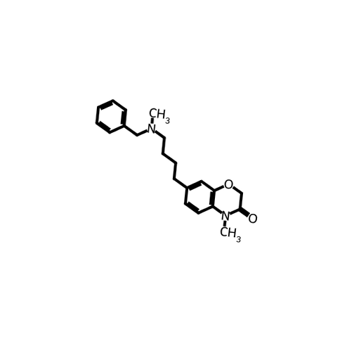 CN(CCCCc1ccc2c(c1)OCC(=O)N2C)Cc1ccccc1